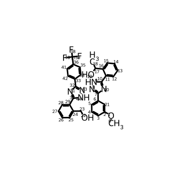 COc1cccc(-c2n[nH]c(-c3ccccc3C(C)O)n2)c1.OCc1ccccc1-c1nc(-c2ccc(C(F)(F)F)cc2)n[nH]1